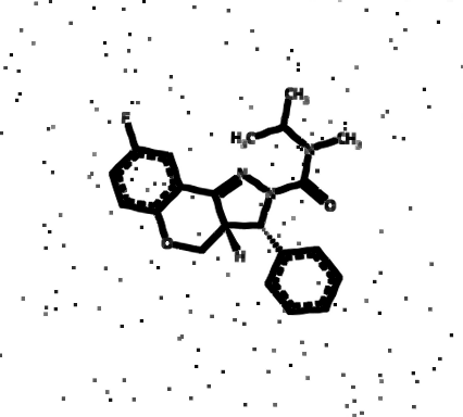 CC(C)N(C)C(=O)N1N=C2c3cc(F)ccc3OC[C@H]2[C@H]1c1ccccc1